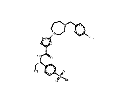 CCS(=O)(=O)c1ccc([C@H](CC#N)NC(=O)c2cnc(N3CCCN(Cc4ccc(C(F)(F)F)cc4)CC3)s2)cc1